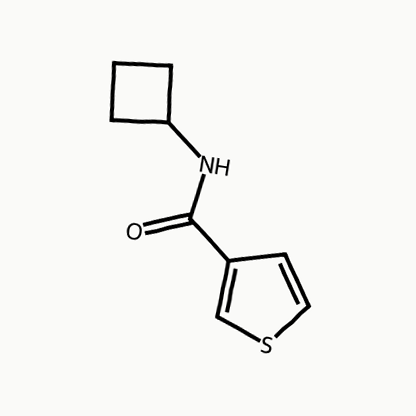 O=C(NC1CCC1)c1ccsc1